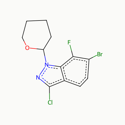 Fc1c(Br)ccc2c(Cl)nn(C3CCCCO3)c12